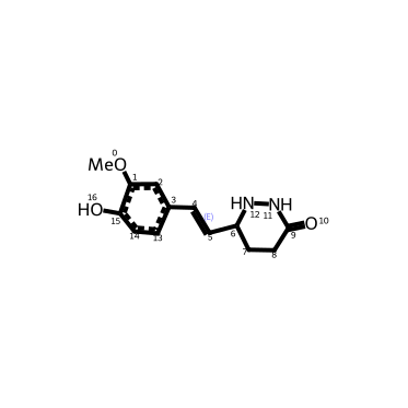 COc1cc(/C=C/C2CCC(=O)NN2)ccc1O